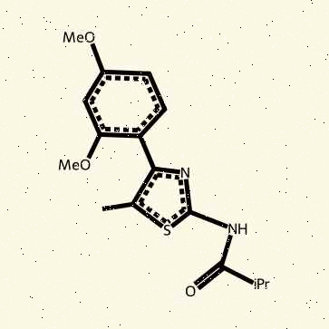 COc1ccc(-c2nc(NC(=O)C(C)C)sc2C)c(OC)c1